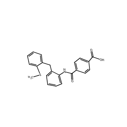 CSc1ccccc1Cc1ccccc1NC(=O)c1ccc(C(=O)O)cc1